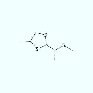 CSC(C)C1SCC(C)S1